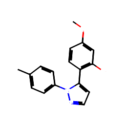 COc1ccc(-c2ccnn2-c2ccc(C)cc2)c(O)c1